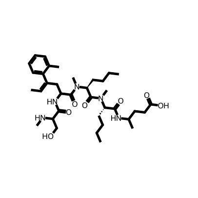 C/C=C(/CC(NC(=O)C(CO)NC)C(=O)N(C)[C@@H](CCCC)C(=O)N(C)[C@@H](CCCC)C(=O)NC(C)CCC(=O)O)c1ccccc1C